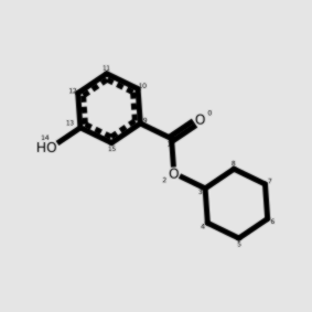 O=C(OC1CCCCC1)c1cccc(O)c1